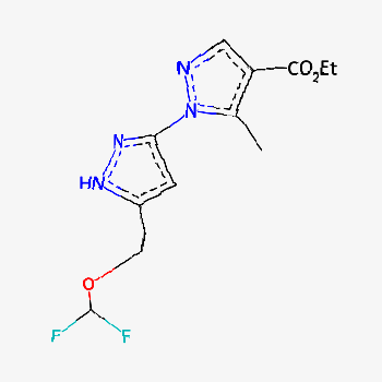 CCOC(=O)c1cnn(-c2cc(COC(F)F)[nH]n2)c1C